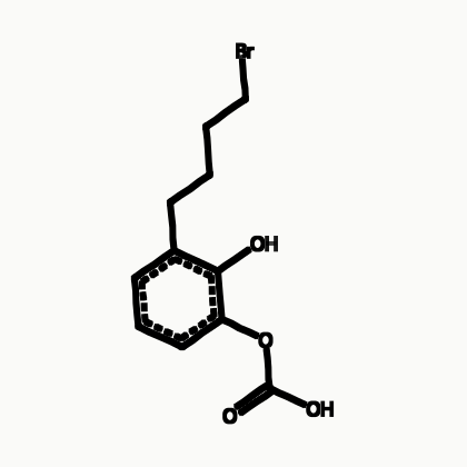 O=C(O)Oc1cccc(CCCCBr)c1O